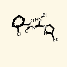 CCN/C(=N\S(=O)(=O)c1ccccc1Cl)N1CCC(CC)=N1